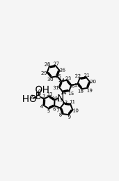 OB(O)c1ccc2c3ccccc3n(-c3cc(-c4ccccc4)cc(-c4ccccc4)c3)c2c1